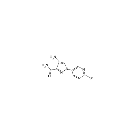 NC(=O)c1nn(-c2ccc(Br)nc2)cc1[N+](=O)[O-]